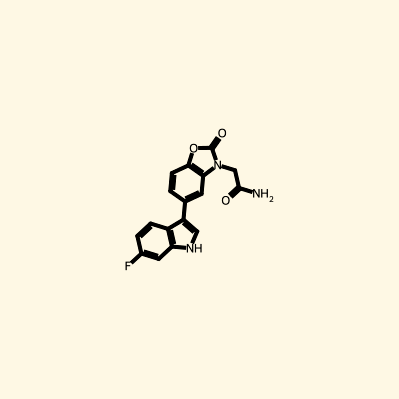 NC(=O)Cn1c(=O)oc2ccc(-c3c[nH]c4cc(F)ccc34)cc21